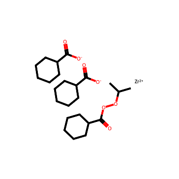 CC(C)OOC(=O)C1CCCCC1.O=C([O-])C1CCCCC1.O=C([O-])C1CCCCC1.[Zr+2]